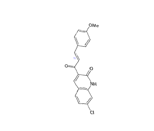 COc1ccc(/C=C/C(=O)c2cc3ccc(Cl)cc3[nH]c2=O)cc1